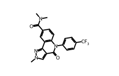 CN(C)C(=O)c1ccc2c(c1)c1nn(C)cc1c(=O)n2-c1ccc(C(F)(F)F)cc1